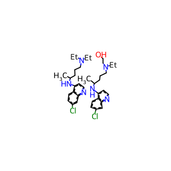 CCN(CC)CCCC(C)Nc1ccnc2cc(Cl)ccc12.CCN(CCO)CCCC(C)Nc1ccnc2cc(Cl)ccc12